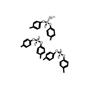 Cc1ccc(OP(=S)([S-])Oc2ccc(C)cc2)cc1.Cc1ccc(OP(=S)([S-])Oc2ccc(C)cc2)cc1.Cc1ccc(OP(=S)([S-])Oc2ccc(C)cc2)cc1.[Sb+3]